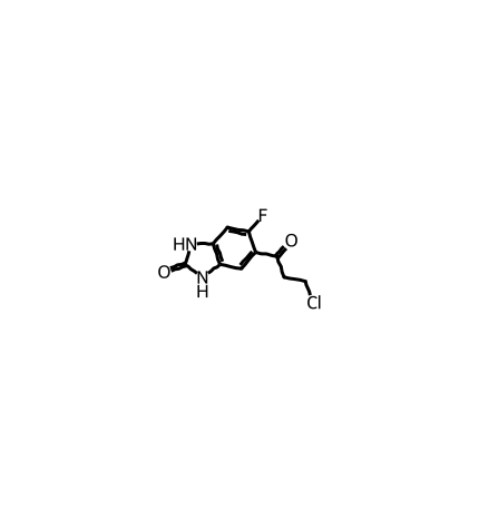 O=C(CCCl)c1cc2[nH]c(=O)[nH]c2cc1F